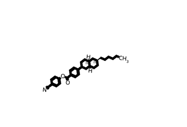 CCCCCC[C@H]1CC[C@@H]2CC(c3ccc(C(=O)Oc4ccc(C#N)cc4)cc3)CC[C@H]2C1